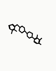 Cc1cccc(CC2CCC(C3CCC(c4ccc(C)c(C)c4C)CC3)CC2)c1C